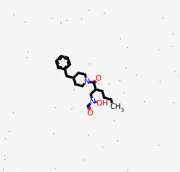 CCCCC(CN(O)C=O)C(=O)N1CCC(Cc2ccccc2)CC1